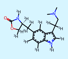 [2H]c1c(C([2H])([2H])[C@]2([2H])N([2H])C(=O)OC2([2H])[2H])c([2H])c2c(C([2H])([2H])CN(C)C)c([2H])n([2H])c2c1[2H]